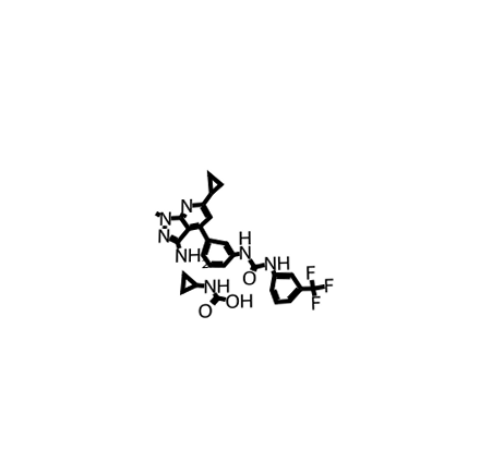 Cn1nc(N)c2c(-c3cccc(NC(=O)Nc4cccc(C(F)(F)F)c4)c3)cc(C3CC3)nc21.O=C(O)NC1CC1